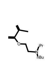 C=C(C)C(=C)OCCN(CCCC)C(C)C